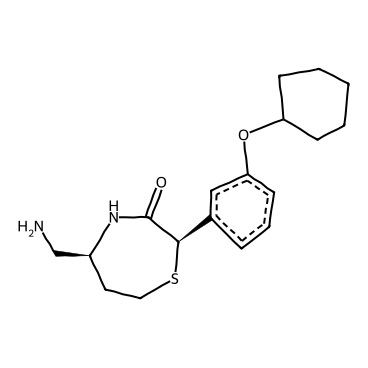 NC[C@@H]1CCS[C@H](c2cccc(OC3CCCCC3)c2)C(=O)N1